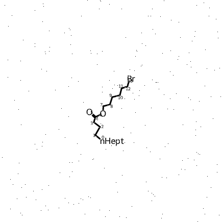 CCCCCCCCCCC(=O)OCCCCCCBr